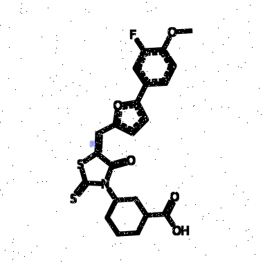 COc1ccc(-c2ccc(/C=C3/SC(=S)N(C4CCCC(C(=O)O)C4)C3=O)o2)cc1F